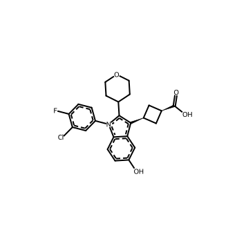 O=C(O)[C@H]1C[C@@H](c2c(C3CCOCC3)n(-c3ccc(F)c(Cl)c3)c3ccc(O)cc32)C1